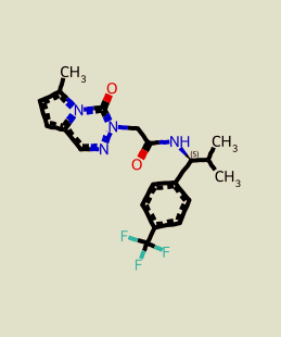 Cc1ccc2cnn(CC(=O)N[C@H](c3ccc(C(F)(F)F)cc3)C(C)C)c(=O)n12